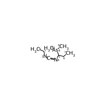 CCN=C=NC(CC)[As](C)C